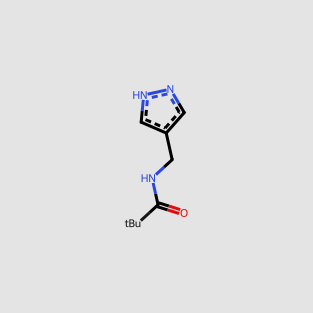 CC(C)(C)C(=O)NCc1cn[nH]c1